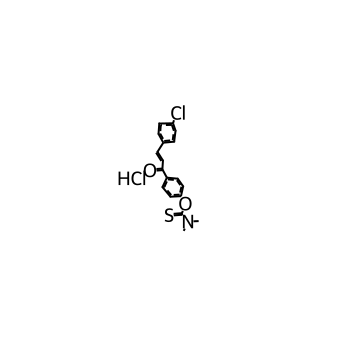 CN(C)C(=S)Oc1ccc(C(=O)C=Cc2ccc(Cl)cc2)cc1.Cl